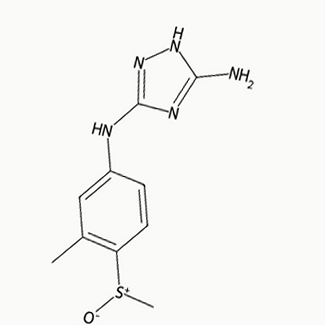 Cc1cc(Nc2n[nH]c(N)n2)ccc1[S+](C)[O-]